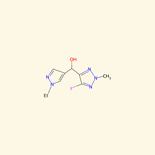 CCn1cc(C(O)c2nn(C)nc2I)cn1